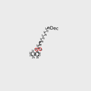 CCCCCCCCCCCCCCCCCCCCCC(=O)Oc1cccc2c1CCC=C2